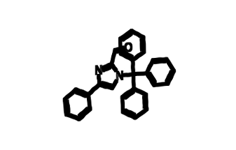 O=Cc1nc(-c2ccccc2)cn1C(c1ccccc1)(c1ccccc1)c1ccccc1